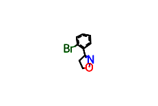 Brc1ccccc1C1=NOCC1